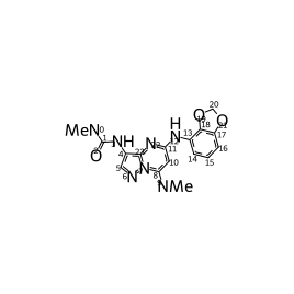 CNC(=O)Nc1cnn2c(NC)cc(Nc3cccc4c3OCO4)nc12